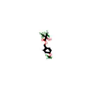 O=C(OCc1ccc(OC(F)(F)F)cc1)C(O)(C(F)(F)F)C(F)(F)F